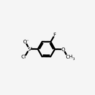 COc1ccc([S+]([O-])Cl)cc1F